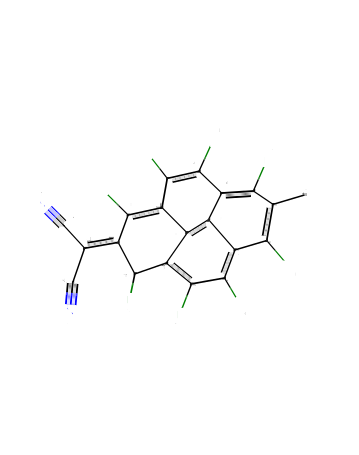 [2H]c1c(F)c2c(F)c(F)c3c4c(c(F)c(F)c(c1F)c24)=C(F)C(=C(C#N)C#N)C3F